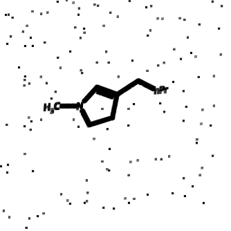 CCCCC1=CN(C)CC1